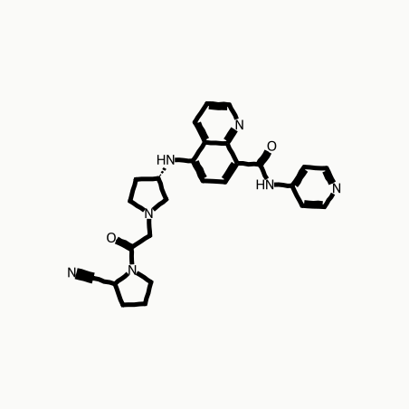 N#CC1CCCN1C(=O)CN1CC[C@H](Nc2ccc(C(=O)Nc3ccncc3)c3ncccc23)C1